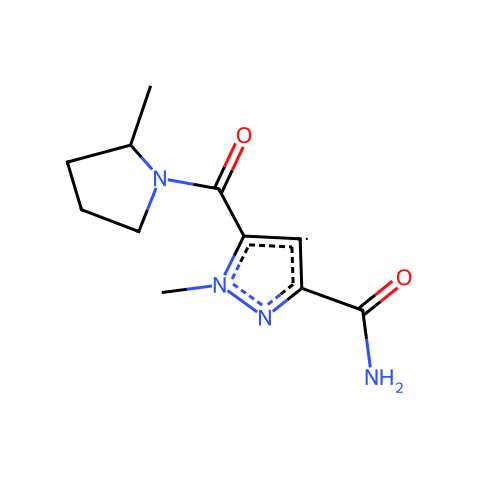 CC1CCCN1C(=O)c1[c]c(C(N)=O)nn1C